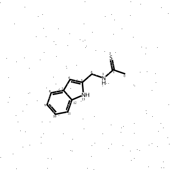 CC(=S)NCc1cc2ccccc2[nH]1